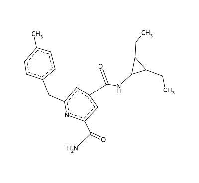 CCC1C(CC)C1NC(=O)c1cc(Cc2ccc(C)cc2)nc(C(N)=O)c1